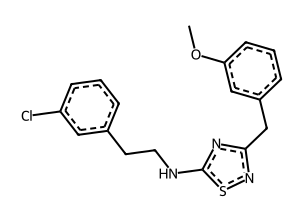 COc1cccc(Cc2nsc(NCCc3cccc(Cl)c3)n2)c1